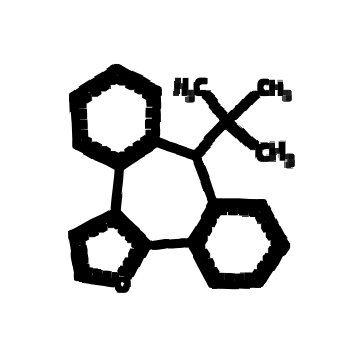 CC(C)(C)C1c2ccccc2-c2ccoc2-c2ccccc21